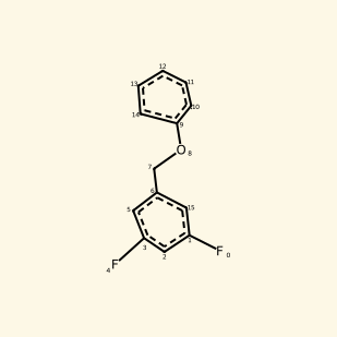 Fc1cc(F)cc(COc2[c]cccc2)c1